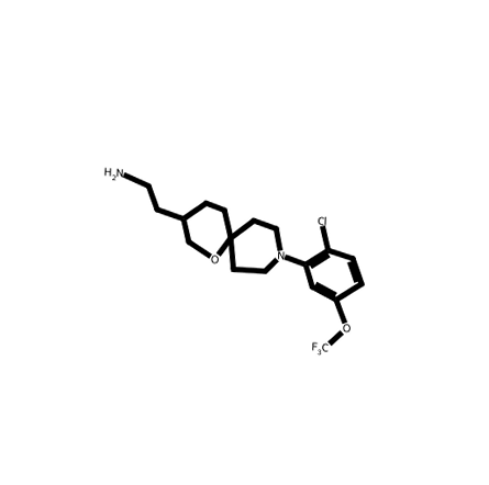 NCCC1CCC2(CCN(c3cc(OC(F)(F)F)ccc3Cl)CC2)OC1